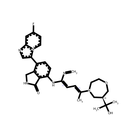 C=N/C(=C\C=C(/C)N1CCOC[C@@H](C(C)(C)O)C1)Nc1ccc(-c2cnc3cc(F)ccn23)c2c1C(=O)NC2